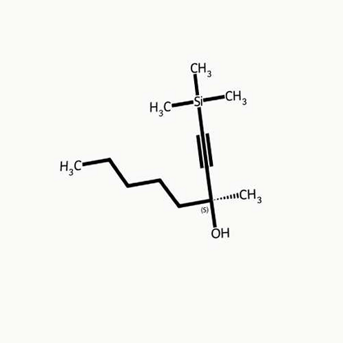 CCCCC[C@](C)(O)C#C[Si](C)(C)C